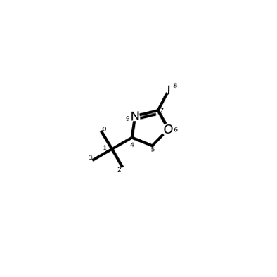 CC(C)(C)C1COC(I)=N1